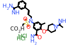 CC(=N)N1CCC(Oc2c(C)cc(N(C/C=C/c3cccc(C(=N)N)c3)S(=O)(=O)CC(=O)O)cc2C(N)=O)CC1.Cl.Cl